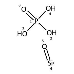 O=P(O)(O)O.O=[Si]